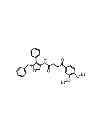 CCOc1ccc(C(=O)CCC(=O)Nc2cnn(Cc3ccccc3)c2-c2ccccc2)cc1OCC